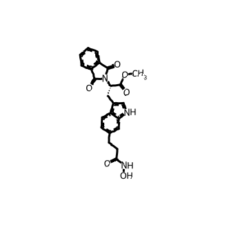 COC(=O)[C@H](Cc1c[nH]c2cc(CCC(=O)NO)ccc12)N1C(=O)c2ccccc2C1=O